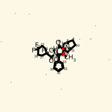 CN1C(=O)N(C)C2(CC3CCC(C2)N3CC[C@H](NC(=O)C2CCC(F)(F)CC2)c2ccccc2)C1=O